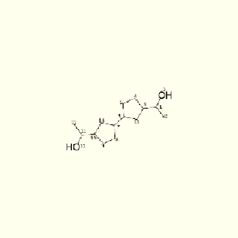 CC(O)C1CCC(C2CCC(C(C)O)C2)C1